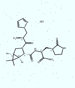 CC1(C)[C@@H]2[C@@H](C(=O)N[C@@H](C[C@@H]3CCNC3=O)C(N)=O)N(C(=O)[C@@H](N)Cn3cccn3)C[C@@H]21.Cl